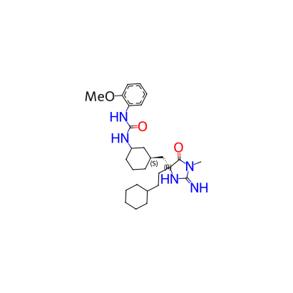 COc1ccccc1NC(=O)NC1CCC[C@H](C[C@@]2(CCC3CCCCC3)NC(=N)N(C)C2=O)C1